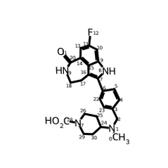 CN(Cc1ccc(-c2[nH]c3cc(F)cc4c3c2CCNC4=O)cc1)C1CCN(C(=O)O)CC1